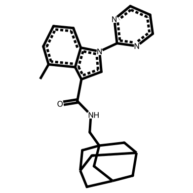 Cc1cccc2c1c(C(=O)NCC13CC4CC(CC(C4)C1)C3)cn2-c1ncccn1